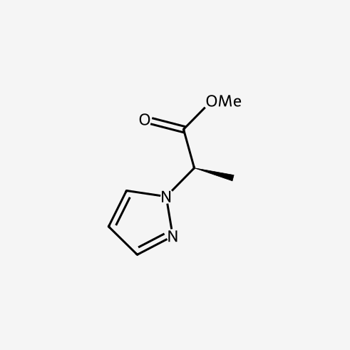 COC(=O)[C@@H](C)n1cccn1